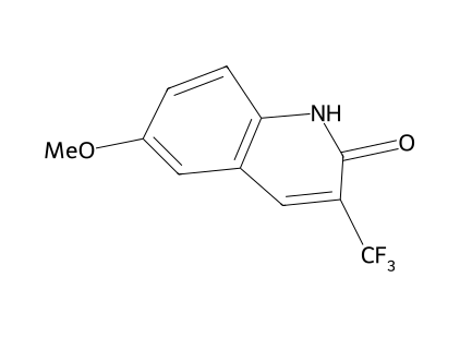 COc1ccc2[nH]c(=O)c(C(F)(F)F)cc2c1